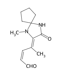 CC(/C=C\C=O)=C1\C(=O)NC2(CCCC2)N1C